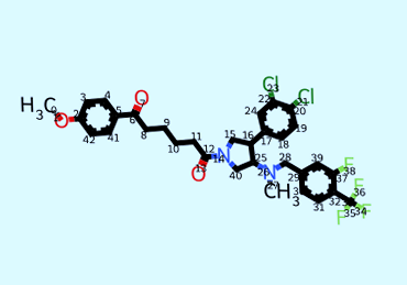 COc1ccc(C(=O)CCCCC(=O)N2CC(c3ccc(Cl)c(Cl)c3)C(N(C)Cc3ccc(C(F)(F)F)c(F)c3)C2)cc1